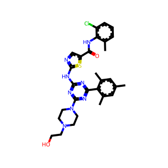 Cc1cc(C)c(-c2nc(Nc3ncc(C(=O)Nc4c(C)cccc4Cl)s3)nc(N3CCN(CCO)CC3)n2)c(C)c1